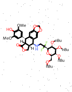 CCCCOC[C@H]1O[C@@H](C(F)(F)CN[C@@H]2c3cc4c(cc3[C@@H](c3cc(OC)c(O)c(OC)c3)[C@H]3C(=O)OC[C@@H]32)OCO4)[C@H](OCCCC)[C@@H](OCCCC)[C@@H]1OCCCC